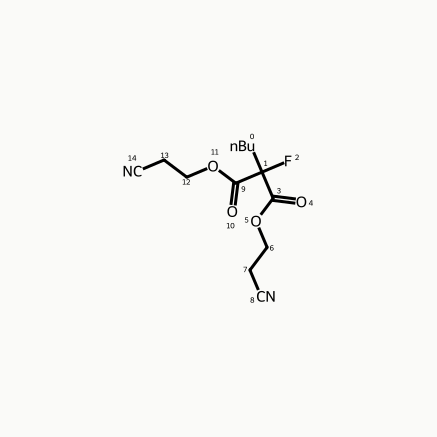 CCCCC(F)(C(=O)OCCC#N)C(=O)OCCC#N